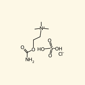 C[N+](C)(C)CCOC(N)=O.O=S(=O)(O)O.[Cl-]